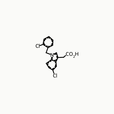 O=C(O)Cc1cn(Cc2ccccc2Cl)c2ccc(Cl)cc12